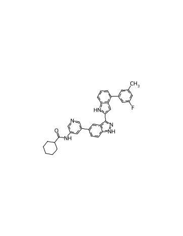 Cc1cc(F)cc(-c2cccc3[nH]c(-c4n[nH]c5ccc(-c6cncc(NC(=O)C7CCCCC7)c6)cc45)cc23)c1